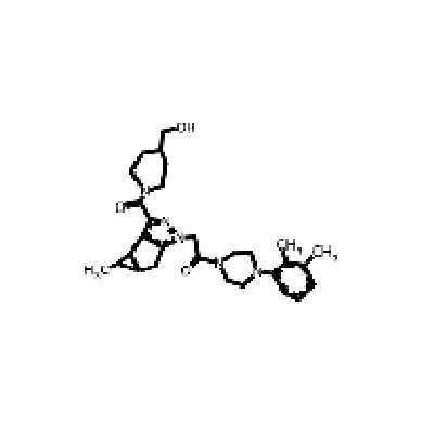 Cc1cccc(N2CCN(C(=O)Cn3nc(C(=O)N4CCC(CO)CC4)c4c3CC3C(C)C43)CC2)c1C